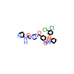 O=C(CN1CCN(C(=O)c2ccc(S(=O)(=O)Nc3ccccc3Oc3ccc(Cl)c(Cl)c3)cc2)CC1)Nc1cccnc1